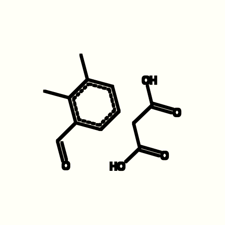 Cc1cccc(C=O)c1C.O=C(O)CC(=O)O